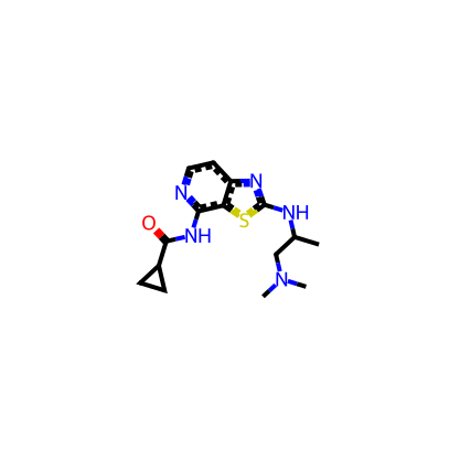 CC(CN(C)C)Nc1nc2ccnc(NC(=O)C3CC3)c2s1